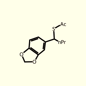 CCCC(SC(C)=O)c1ccc2c(c1)OCO2